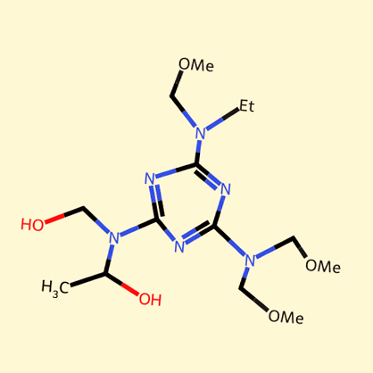 CCN(COC)c1nc(N(COC)COC)nc(N(CO)C(C)O)n1